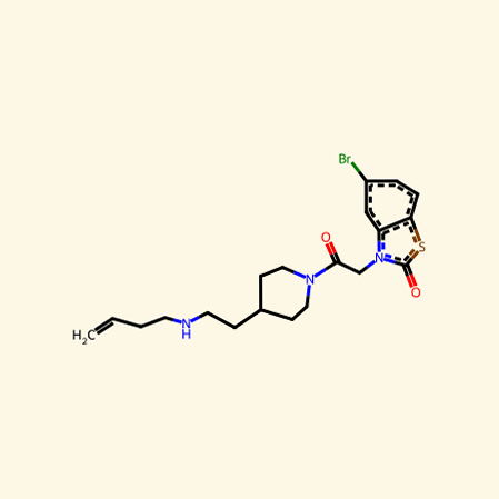 C=CCCNCCC1CCN(C(=O)Cn2c(=O)sc3ccc(Br)cc32)CC1